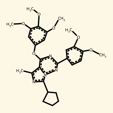 COc1ccc(-c2nc(Oc3cc(OC)c(OC)c(OC)c3)c3c(C)nc(C4CCCC4)n3n2)cc1OC